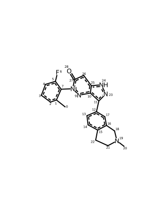 Cc1cccc(F)c1-n1nc2c(-c3ccc4c(c3)CN(C)CC4)n[nH]c2cc1=O